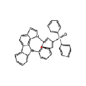 O=P(c1ccccc1)(c1ccccc1)c1cccc(-n2ccc3ccc4c5ccccc5n(-c5ccccc5)c4c32)c1